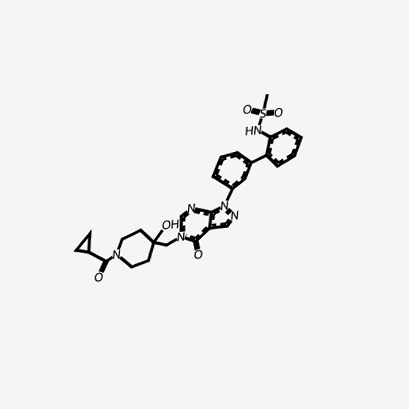 CS(=O)(=O)Nc1ccccc1-c1cccc(-n2ncc3c(=O)n(CC4(O)CCN(C(=O)C5CC5)CC4)cnc32)c1